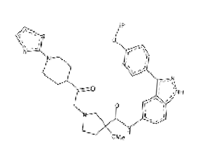 COC1(C(=O)Nc2ccc3[nH]nc(-c4ccc(OC(C)C)nc4)c3c2)CCN(CC(=O)C2CCN(c3nccs3)CC2)C1